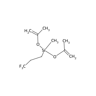 C=C(C)O[Si](C)(CCC(F)(F)F)OC(=C)C